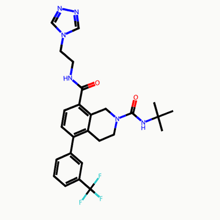 CC(C)(C)NC(=O)N1CCc2c(-c3cccc(C(F)(F)F)c3)ccc(C(=O)NCCn3cnnc3)c2C1